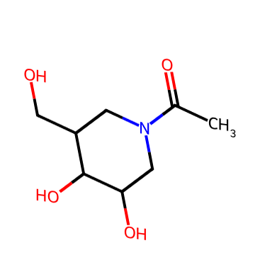 CC(=O)N1CC(O)C(O)C(CO)C1